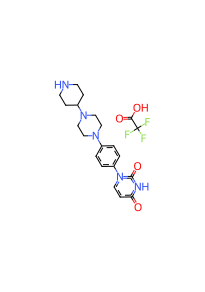 O=C(O)C(F)(F)F.O=c1ccn(-c2ccc(N3CCN(C4CCNCC4)CC3)cc2)c(=O)[nH]1